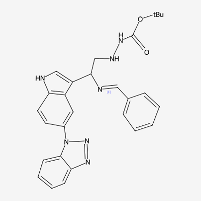 CC(C)(C)OC(=O)NNCC(/N=C/c1ccccc1)c1c[nH]c2ccc(-n3nnc4ccccc43)cc12